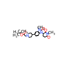 CN1C(=O)CCC(n2c(=O)n(C)c3cc(C4CCN(CC(=O)OC(C)(C)C)CC4)ccc32)C1=O